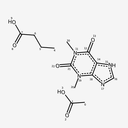 CC(=O)O.CCCC(=O)O.Cn1c(=O)c2[nH]cnc2n(C)c1=O